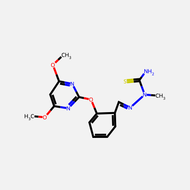 COc1cc(OC)nc(Oc2ccccc2C=NN(C)C(N)=S)n1